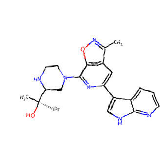 Cc1noc2c(N3CCN[C@H]([C@](C)(O)C(C)C)C3)nc(-c3c[nH]c4ncccc34)cc12